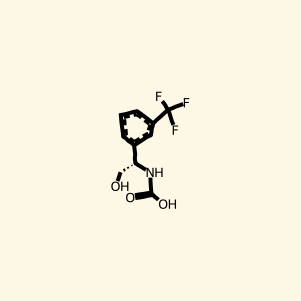 O=C(O)N[C@H](CO)c1cccc(C(F)(F)F)c1